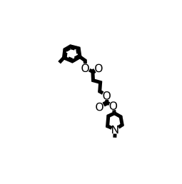 Cc1cccc(COC(=O)CCCOC(=O)OC2CCN(C)CC2)c1